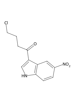 O=C(CCCCl)c1c[nH]c2ccc([N+](=O)[O-])cc12